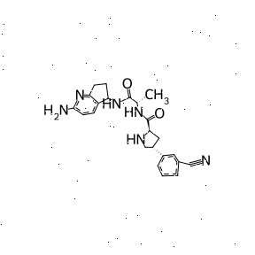 C[C@H](NC(=O)[C@H]1C[C@H](c2cccc(C#N)c2)CN1)C(=O)N[C@@H]1CCc2nc(N)ccc21